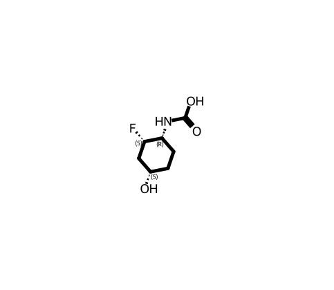 O=C(O)N[C@@H]1CC[C@H](O)C[C@@H]1F